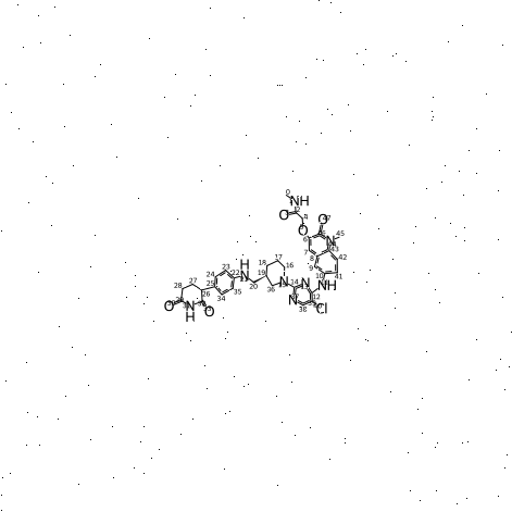 CNC(=O)COc1cc2cc(Nc3nc(N4CCC[C@H](CNc5ccc(C6CCC(=O)NC6=O)cc5)C4)ncc3Cl)ccc2n(C)c1=O